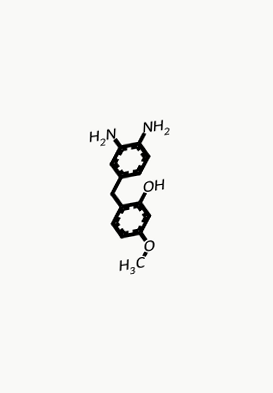 COc1ccc(Cc2ccc(N)c(N)c2)c(O)c1